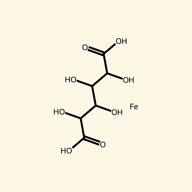 O=C(O)C(O)C(O)C(O)C(O)C(=O)O.[Fe]